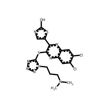 CN(C)CCCn1nnnc1Sc1nc2cc(Cl)c(Cl)cc2nc1-c1cnc(O)s1